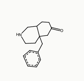 O=C1CCC2CNCCC2(Cc2ccccc2)C1